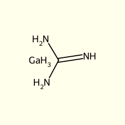 N=C(N)N.[GaH3]